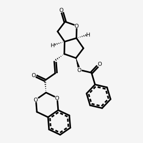 O=C1C[C@@H]2[C@@H](C=CC(=O)[C@H]3OCc4ccccc4O3)[C@H](OC(=O)c3ccccc3)C[C@@H]2O1